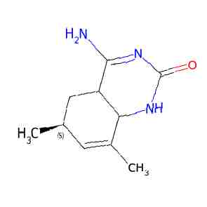 CC1=C[C@@H](C)CC2C(N)=NC(=O)NC12